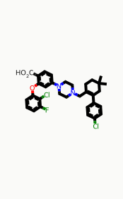 CC1(C)CCC(CN2CCN(c3ccc(C(=O)O)c(Oc4cccc(F)c4Cl)c3)CC2)=C(c2ccc(Cl)cc2)C1